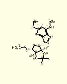 CCCCNc1nc(SCCC)nc2c1nnn2[C@H]1C[C@@H](OCC(=O)O)[C@@H]2OC(C)(C)O[C@@H]21